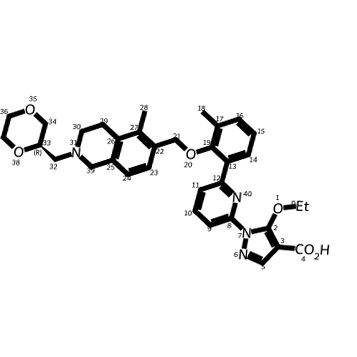 CCOc1c(C(=O)O)cnn1-c1cccc(-c2cccc(C)c2OCc2ccc3c(c2C)CCN(C[C@@H]2COCCO2)C3)n1